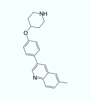 Cc1ccc2ncc(-c3ccc(OC4CCNCC4)cc3)cc2c1